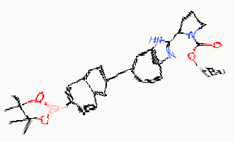 CC(C)(C)OC(=O)N1CCCC1c1nc2ccc(-c3ccc4cc(B5OC(C)(C)C(C)(C)O5)ccc4c3)cc2[nH]1